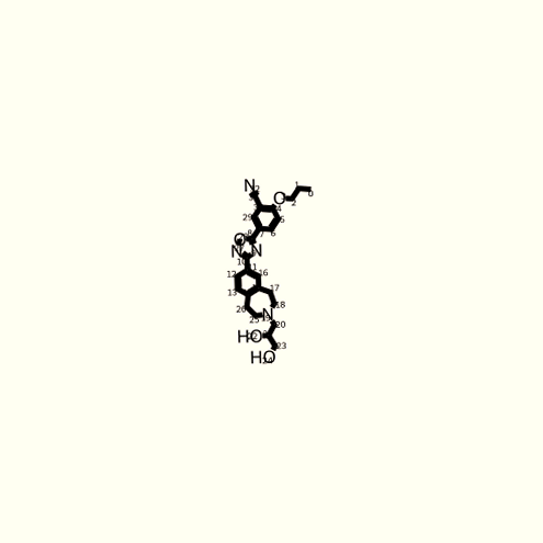 CCCOc1ccc(-c2nc(-c3ccc4c(c3)CCN(CC(O)CO)CC4)no2)cc1C#N